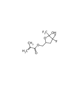 C=C(C)C(=O)OCC1CC(F)(F)C(O)(C(F)(F)F)O1